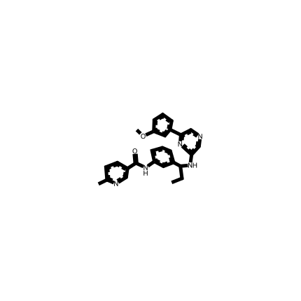 CCC(Nc1cncc(-c2cccc(OC)c2)n1)c1cccc(NC(=O)c2ccc(C)nc2)c1